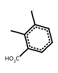 [CH2]c1cccc(C(=O)O)c1C